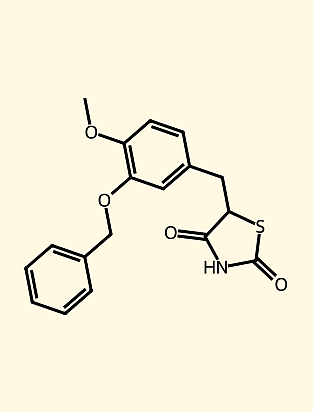 COc1ccc(CC2SC(=O)NC2=O)cc1OCc1ccccc1